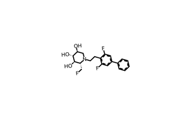 O[C@H]1[C@H](O)[C@@H](O)CN(CCc2c(F)cc(-c3ccccc3)cc2F)[C@@H]1CF